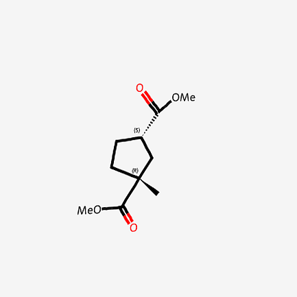 COC(=O)[C@H]1CC[C@@](C)(C(=O)OC)C1